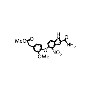 COC(=O)Cc1ccc(Oc2ccc3[nH]c(C(N)=O)cc3c2[N+](=O)[O-])c(OC)c1